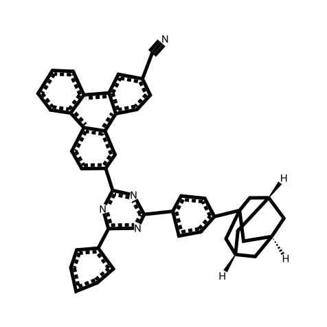 N#Cc1ccc2c(c1)c1ccccc1c1ccc(-c3nc(-c4ccccc4)nc(-c4ccc(C56C[C@H]7C[C@@H](C5)C[C@@H](C6)C7)cc4)n3)cc12